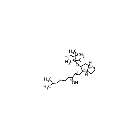 CC(C)CCCC[C@H](O)/C=C/[C@H]1C(O[Si](C)(C)C(C)(C)C)C[C@@H]2OCC[C@@H]21